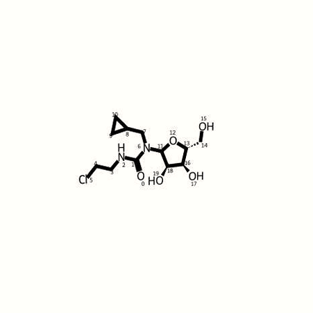 O=C(NCCCl)N(CC1CC1)C1O[C@H](CO)[C@@H](O)[C@H]1O